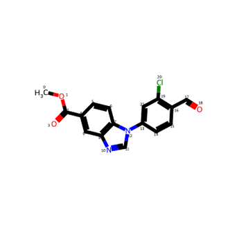 COC(=O)c1ccc2c(c1)ncn2-c1ccc(C=O)c(Cl)c1